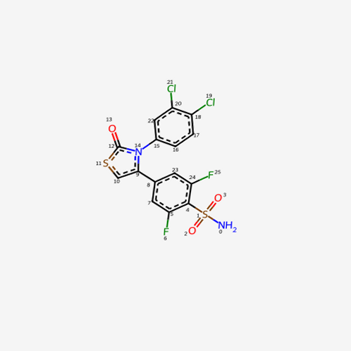 NS(=O)(=O)c1c(F)cc(-c2csc(=O)n2-c2ccc(Cl)c(Cl)c2)cc1F